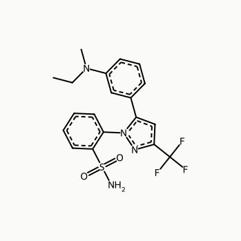 CCN(C)c1cccc(-c2cc(C(F)(F)F)nn2-c2ccccc2S(N)(=O)=O)c1